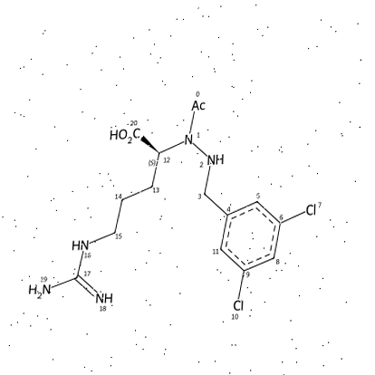 CC(=O)N(NCc1cc(Cl)cc(Cl)c1)[C@@H](CCCNC(=N)N)C(=O)O